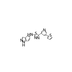 c1csc(-c2cncc(-c3nnc(Nc4ccc5[nH]ncc5c4)s3)c2)c1